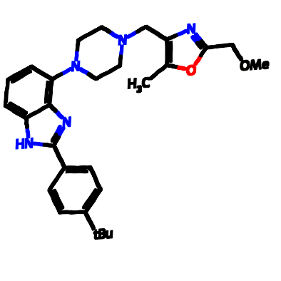 COCc1nc(CN2CCN(c3cccc4[nH]c(-c5ccc(C(C)(C)C)cc5)nc34)CC2)c(C)o1